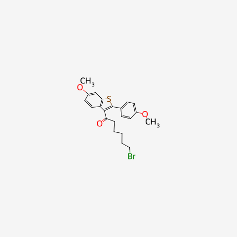 COc1ccc(-c2sc3cc(OC)ccc3c2C(=O)CCCCCBr)cc1